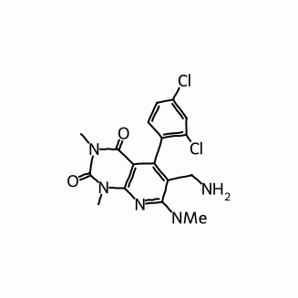 CNc1nc2c(c(-c3ccc(Cl)cc3Cl)c1CN)c(=O)n(C)c(=O)n2C